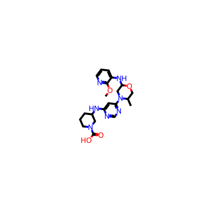 COc1ncccc1NC1CN(c2cc(NC3CCCN(C(=O)O)C3)ncn2)C(C)CO1